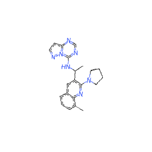 Cc1cccc2cc(C(C)Nc3ncnc4ccnn34)c(N3CCCC3)nc12